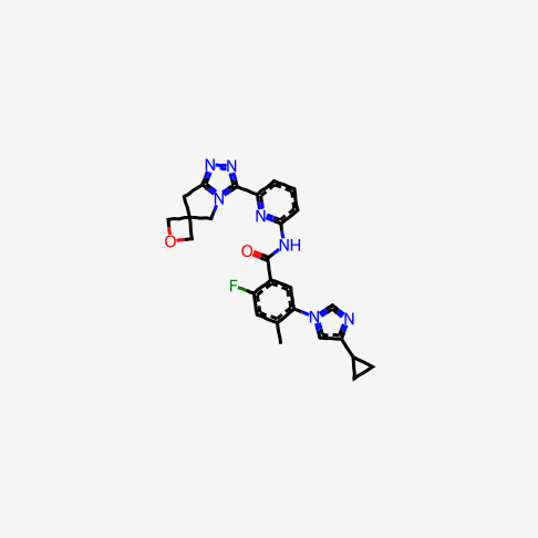 Cc1cc(F)c(C(=O)Nc2cccc(-c3nnc4n3CC3(COC3)C4)n2)cc1-n1cnc(C2CC2)c1